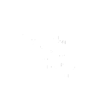 O=P(O)(O)OP(=O)(O)OC1([SiH3])CCCCO1